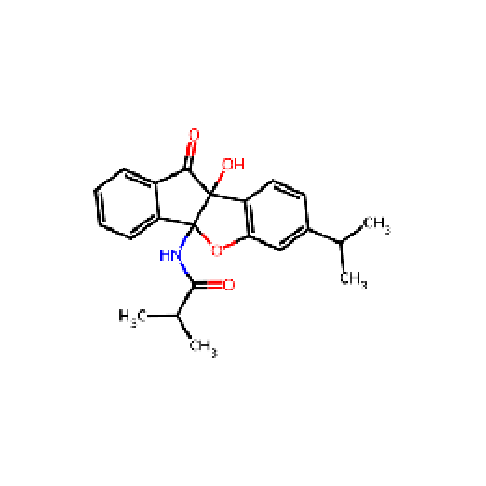 CC(C)C(=O)NC12Oc3cc(C(C)C)ccc3C1(O)C(=O)c1ccccc12